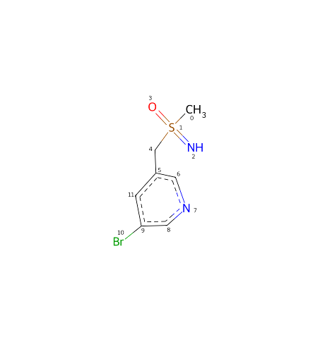 CS(=N)(=O)Cc1cncc(Br)c1